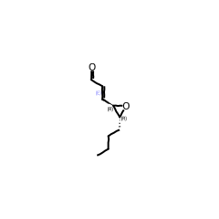 CCCC[C@H]1O[C@@H]1/C=C/C=O